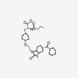 CCCC(=O)NC(Cc1ccc(OCCn2c(=O)sc3cc(C(=O)c4ccccc4)ccc32)cc1)C(=O)OC